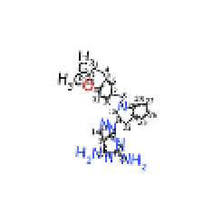 CC1(C)CCc2cc(CN3CC(n4ncc5c(N)nc(N)nc54)Cc4ccccc43)ccc2O1